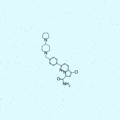 NC(=O)c1cc(Cl)c2ccc(-c3ccc(CN4CCC(N5CCCC5)CC4)cc3)nn12